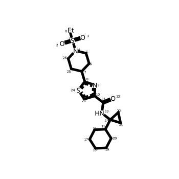 CCS(=O)(=O)N1CCC(c2nc(C(=O)NC3(C4CCCCC4)CC3)cs2)CC1